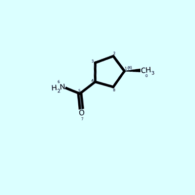 C[C@@H]1CCC(C(N)=O)C1